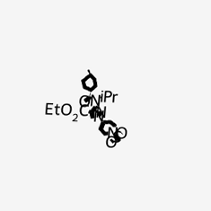 CCOC(=O)c1cn(C2=CCN(S(C)(=O)=O)CC2)nc1N(C(=O)[C@H]1CC[C@H](C)CC1)C(C)C